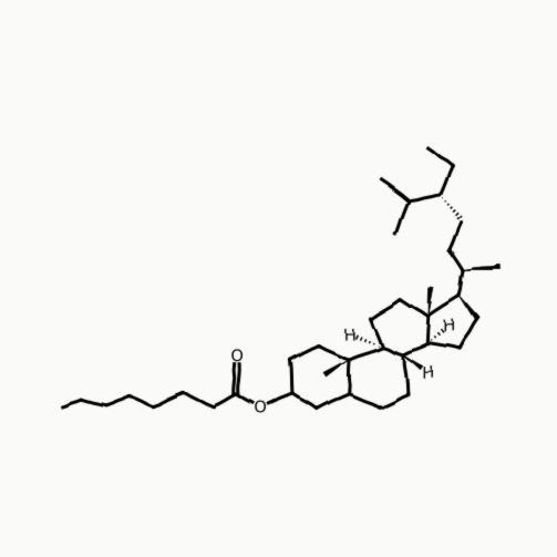 CCCCCCCC(=O)OC1CC[C@@]2(C)C(CC[C@H]3[C@@H]4CC[C@H]([C@H](C)CC[C@@H](CC)C(C)C)[C@@]4(C)CC[C@@H]32)C1